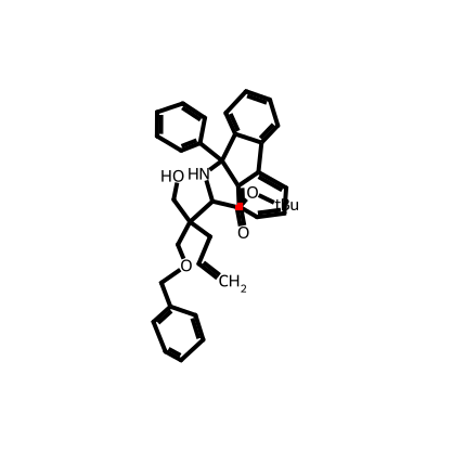 C=CCC(CO)(COCc1ccccc1)C(NC1(c2ccccc2)c2ccccc2-c2ccccc21)C(=O)OC(C)(C)C